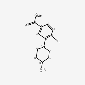 COC(=O)c1ccc(F)c(N2CCC(N)CC2)c1